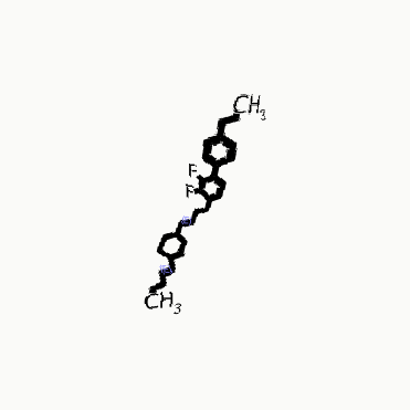 CCC/C=C/C1CCC(/C=C/CCc2ccc(-c3ccc(CCC)cc3)c(F)c2F)CC1